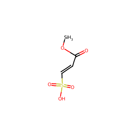 O=C(C=CS(=O)(=O)O)O[SiH3]